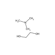 CN(C)C.OCCO